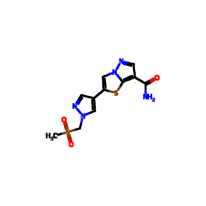 CS(=O)(=O)Cn1cc(-c2cn3ncc(C(N)=O)c3s2)cn1